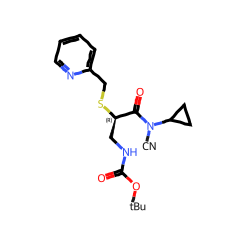 CC(C)(C)OC(=O)NC[C@@H](SCc1ccccn1)C(=O)N(C#N)C1CC1